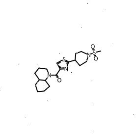 CS(=O)(=O)N1CCC(c2nc(C(=O)N3CCCC4CCCCC43)cs2)CC1